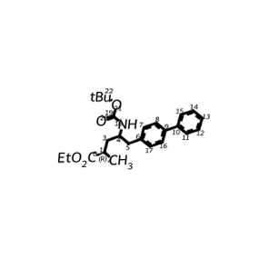 CCOC(=O)[C@H](C)CC(Cc1ccc(-c2ccccc2)cc1)NC(=O)OC(C)(C)C